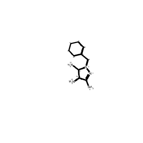 NC1=NN(CC2CCCCC2)C(N)C1N